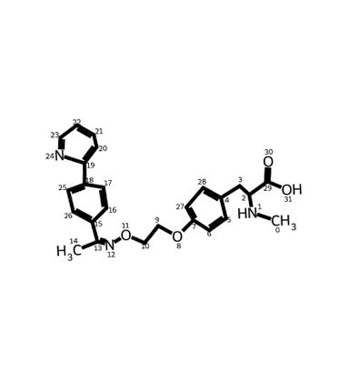 CNC(Cc1ccc(OCCON=C(C)c2ccc(-c3ccccn3)cc2)cc1)C(=O)O